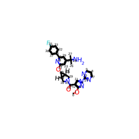 COc1nn(-c2ncccn2)cc1C(=O)N1C[C@@H]2[C@H](C1)[C@H]2Oc1cc(C(C)(C)N)cc(-c2ccc(F)cc2)n1